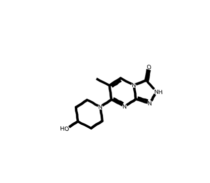 Cc1cn2c(=O)[nH]nc2nc1N1CCC(O)CC1